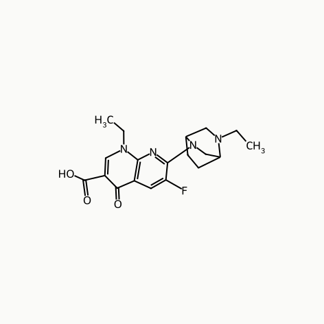 CCN1CC2CCC1CN2c1nc2c(cc1F)c(=O)c(C(=O)O)cn2CC